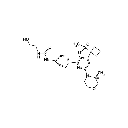 C[C@H]1COCCN1c1cc(C2(S(C)(=O)=O)CCC2)nc(-c2ccc(NC(=O)NCCO)cc2)n1